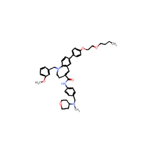 CCCCOCCOc1ccc(-c2ccc3c(c2)C=C(C(=O)Nc2ccc(CN(C)C4CCOCC4)cc2)CCN3Cc2cccc(OC)c2)cc1